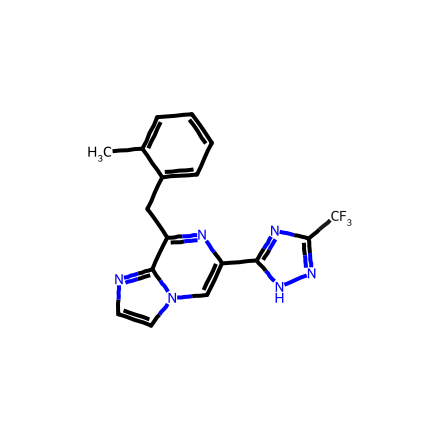 Cc1ccccc1Cc1nc(-c2nc(C(F)(F)F)n[nH]2)cn2ccnc12